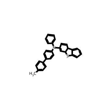 Cc1ccc(-c2ccc(N(C3=CC4Sc5ccccc5C4C=C3)c3ccccc3)cc2)cc1